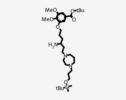 COc1cc(C(=O)OC(C)(C)C)cc(OCCCC(N)CCN2CCCN(CCCO[Si](C)(C)C(C)(C)C)CC2)c1OC